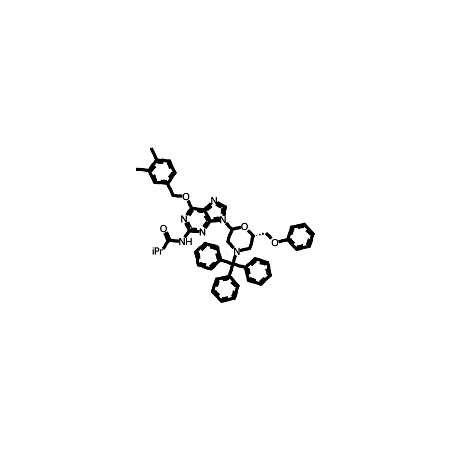 Cc1ccc(COc2nc(NC(=O)C(C)C)nc3c2ncn3C2CN(C(c3ccccc3)(c3ccccc3)c3ccccc3)C[C@@H](COc3ccccc3)O2)cc1C